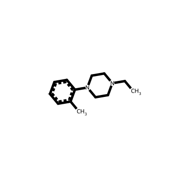 CCN1CCN(c2cc[c]cc2C)CC1